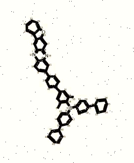 Cc1cc(-c2ccc(-c3ccc4nc5cc6c(cc5nc4c3)oc3ccccc36)cc2)cc(C)c1B(C1=C=C=C(c2ccccc2)C=C1)c1ccc(-c2ccccc2)cc1